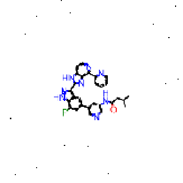 CC(C)CC(=O)Nc1cncc(-c2cc(F)c3[nH]nc(-c4nc5c(-c6ccccn6)nccc5[nH]4)c3c2)c1